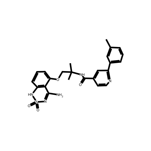 Cc1cccc(-c2cc(C(=O)NC(C)(C)COc3cccc4c3C(N)=NS(=O)(=O)N4)ccn2)c1